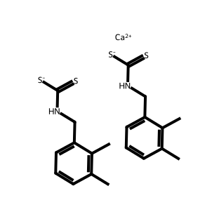 Cc1cccc(CNC(=S)[S-])c1C.Cc1cccc(CNC(=S)[S-])c1C.[Ca+2]